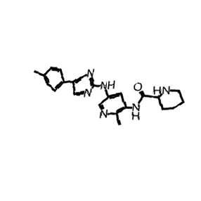 Cc1ccc(-c2cnc(Nc3cnc(C)c(NC(=O)C4CCCCN4)c3)nc2)cc1